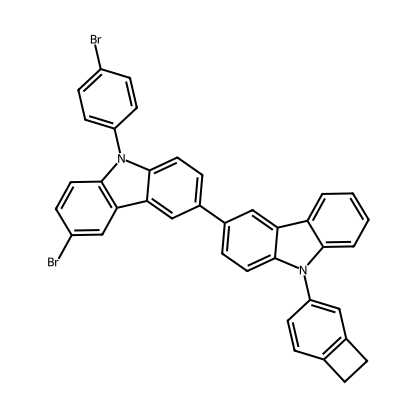 Brc1ccc(-n2c3ccc(Br)cc3c3cc(-c4ccc5c(c4)c4ccccc4n5-c4ccc5c(c4)CC5)ccc32)cc1